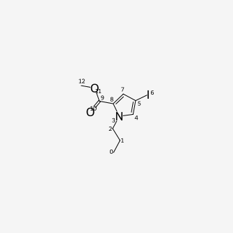 CCCn1cc(I)cc1C(=O)OC